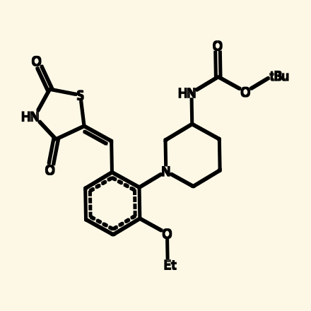 CCOc1cccc(C=C2SC(=O)NC2=O)c1N1CCCC(NC(=O)OC(C)(C)C)C1